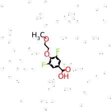 COCCOc1c(F)cc(C(=O)O)cc1F